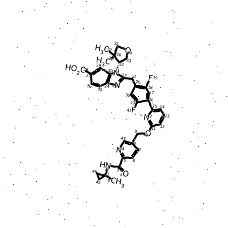 CC1(NC(=O)c2ccc(COc3cccc(-c4cc(F)c(Cc5nc6ccc(C(=O)O)cc6n5[C@H]5COCC5(C)C)cc4F)n3)cn2)CC1